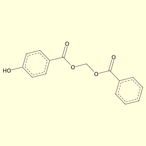 O=C(OCOC(=O)c1ccc(O)cc1)c1ccccc1